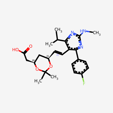 CNc1nc(-c2ccc(F)cc2)c(/C=C/[C@@H]2C[C@H](CC(=O)O)OC(C)(C)O2)c(C(C)C)n1